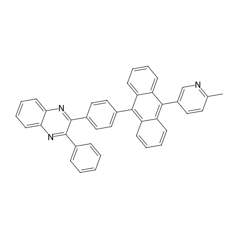 Cc1ccc(-c2c3ccccc3c(-c3ccc(-c4nc5ccccc5nc4-c4ccccc4)cc3)c3ccccc23)cn1